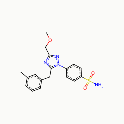 COCc1nc(Cc2cccc(C)c2)n(-c2ccc(S(N)(=O)=O)cc2)n1